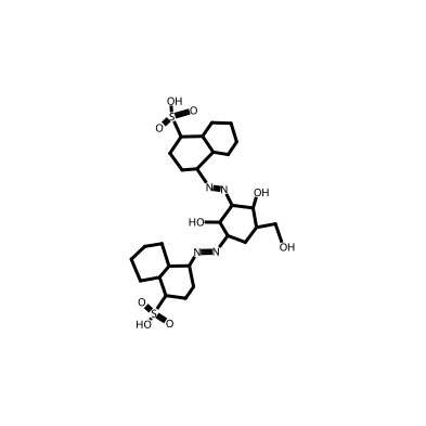 O=S(=O)(O)C1CCC(N=NC2CC(CO)C(O)C(N=NC3CCC(S(=O)(=O)O)C4CCCCC34)C2O)C2CCCCC21